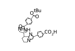 CC(C)(C)OC(=O)c1ccc(C(=O)NC(CN)C2CCCn3cc(-c4ccc(C(=O)O)cc4)nc32)cc1